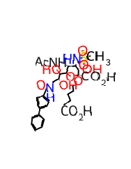 CC(=O)N[C@@H]1[C@@H](NS(C)(=O)=O)[C@H](O)[C@](OCCCCCC(=O)O)(C(=O)O)O[C@H]1[C@H](O)[C@H](O)CNC(=O)c1ccc(-c2ccccc2)cc1